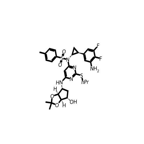 CCCSc1nc(N[C@@H]2C[C@H](O)[C@H]3OC(C)(C)O[C@H]32)cc(N([C@@H]2C[C@H]2c2cc(N)c(F)c(F)c2)S(=O)(=O)c2ccc(C)cc2)n1